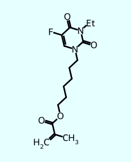 C=C(C)C(=O)OCCCCCCn1cc(F)c(=O)n(CC)c1=O